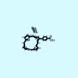 O=C(O)c1ccc(-c2cc3cc4nc(cc5ccc(cc6nc(cc2[nH]3)C=C6)[nH]5)C=C4)cc1.[Na].[Na].[Na].[Na]